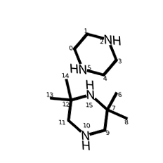 C1CNCCN1.CC1(C)CNCC(C)(C)N1